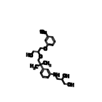 CC(C)(C)c1cccc(OCC(CO)OCC(C)(C)c2cccc(NCC(O)CO)c2)c1